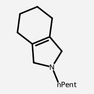 CCCCCN1CC2=C(CCCC2)C1